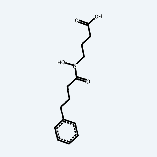 O=C(O)CCCN(O)C(=O)CCCc1ccccc1